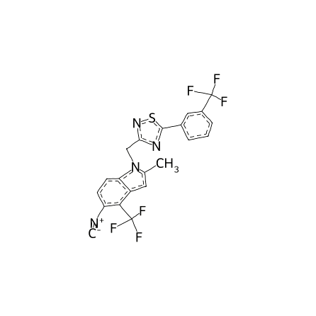 [C-]#[N+]c1ccc2c(cc(C)n2Cc2nsc(-c3cccc(C(F)(F)F)c3)n2)c1C(F)(F)F